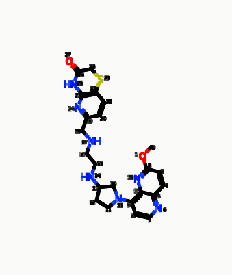 COc1ccc2nccc(N3CCC(NCCNCc4ccc5c(n4)NC(=O)CS5)C3)c2n1